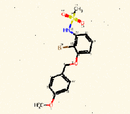 COc1ccc(COc2cccc(NS(C)(=O)=O)c2Br)cc1